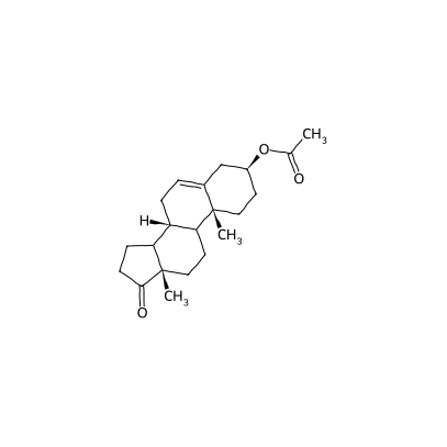 CC(=O)O[C@H]1CC[C@@]2(C)C(=CC[C@@H]3C2CC[C@]2(C)C(=O)CCC32)C1